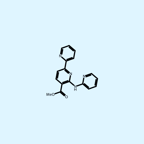 COC(=O)c1ccc(-c2ccccn2)nc1Nc1ccccn1